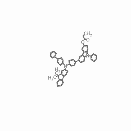 C=CC(=O)Oc1ccc2c(c1)c1cc(-c3ccc(N(c4ccc(-c5ccccc5)cc4)c4ccc5c(c4)C(C)(C)c4ccccc4-5)cc3)ccc1n2-c1ccccc1